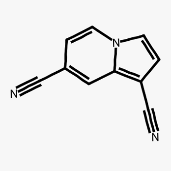 N#Cc1ccn2ccc(C#N)c2c1